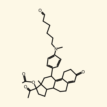 CC(=O)OC1(C(C)=O)CCC2C3CCC4=CC(=O)CCC4=C3C(c3ccc(N(C)CCCCCC=O)cc3)CC21C